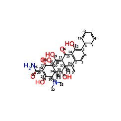 C[C@@H]1c2ccc(-c3ccccc3)c(O)c2C(=O)C2=C(O)[C@]3(O)C(=O)C(C(N)=O)=C(O)[C@@H](N(C)C)[C@@H]3[C@@H](O)[C@@H]21